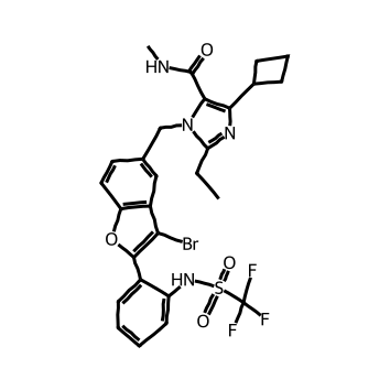 CCc1nc(C2CCC2)c(C(=O)NC)n1Cc1ccc2oc(-c3ccccc3NS(=O)(=O)C(F)(F)F)c(Br)c2c1